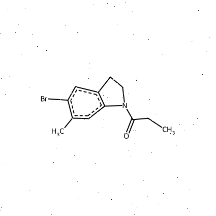 CCC(=O)N1CCc2cc(Br)c(C)cc21